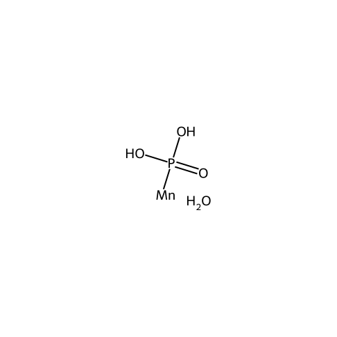 O.O=[P](O)(O)[Mn]